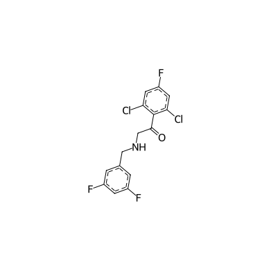 O=C(CNCc1cc(F)cc(F)c1)c1c(Cl)cc(F)cc1Cl